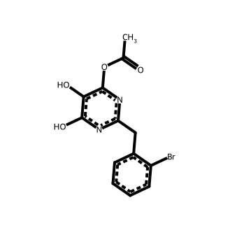 CC(=O)Oc1nc(Cc2ccccc2Br)nc(O)c1O